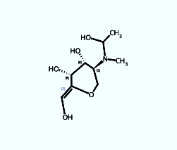 CC(O)N(C)[C@H]1CO/C(=C\O)[C@H](O)[C@@H]1O